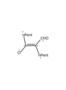 CCCCC/C(Cl)=C(\C=O)CCCCC